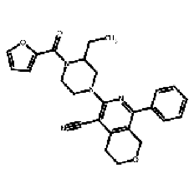 CCC1CN(c2nc(-c3ccccc3)c3c(c2C#N)CCOC3)CCN1C(=O)c1ccco1